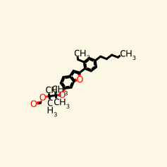 CCCCCc1ccc(-c2cc3ccc(OC(C)(C)C(C)(C)OC=O)cc3o2)c(CC)c1